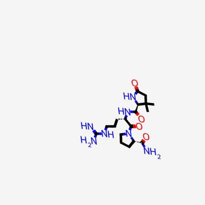 CC1(C)CC(=O)N[C@@H]1C(=O)N[C@@H](CCCNC(=N)N)C(=O)N1CCC[C@H]1C(N)=O